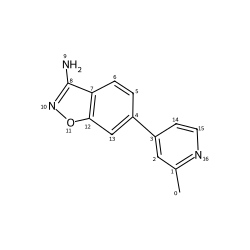 Cc1cc(-c2ccc3c(N)noc3c2)ccn1